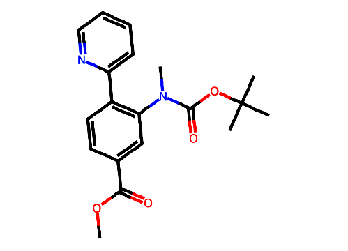 COC(=O)c1ccc(-c2ccccn2)c(N(C)C(=O)OC(C)(C)C)c1